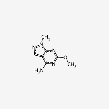 COc1nc(N)c2cnn(C)c2n1